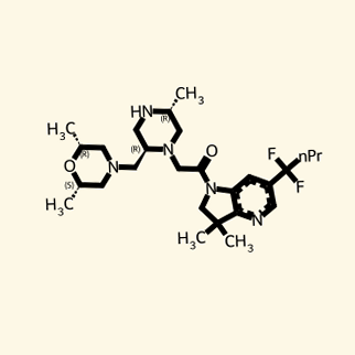 CCCC(F)(F)c1cnc2c(c1)N(C(=O)CN1C[C@@H](C)NC[C@@H]1CN1C[C@@H](C)O[C@@H](C)C1)CC2(C)C